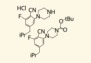 CC(C)Cc1cc(F)c(C#N)c(N2CCN(C(=O)OC(C)(C)C)CC2)c1.CC(C)Cc1cc(F)c(C#N)c(N2CCNCC2)c1.Cl